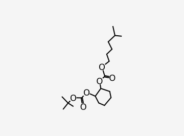 CC(C)CCCCOC(=O)OC1CCCCC1OC(=O)OC(C)(C)C